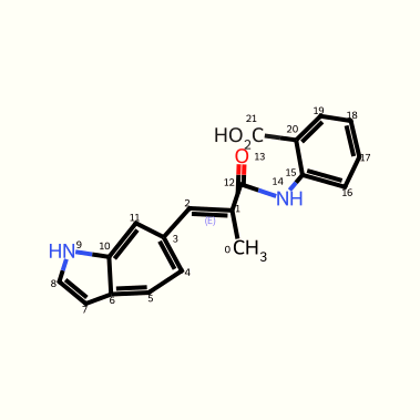 C/C(=C\c1ccc2cc[nH]c2c1)C(=O)Nc1ccccc1C(=O)O